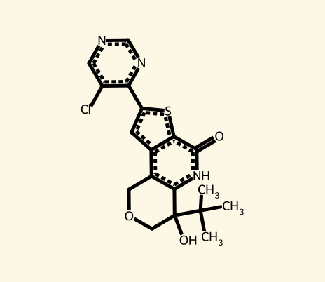 CC(C)(C)C1(O)COCc2c1[nH]c(=O)c1sc(-c3ncncc3Cl)cc21